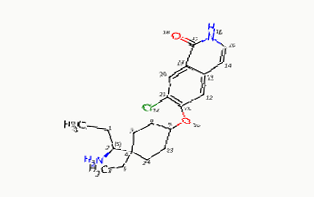 CC[C@H](N)C1(CC)CCC(Oc2cc3cc[nH]c(=O)c3cc2Cl)CC1